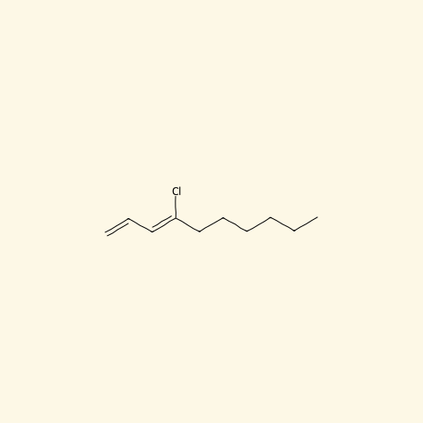 C=CC=C(Cl)CCCCCC